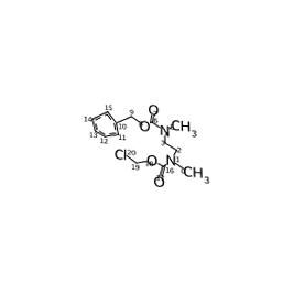 CN(CCN(C)C(=O)OCc1ccccc1)C(=O)OCCl